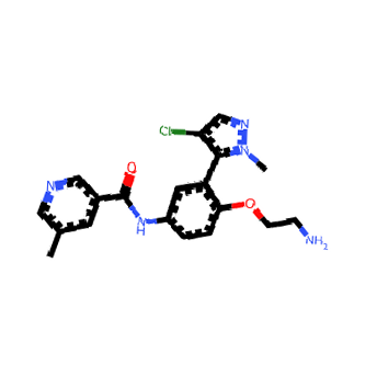 Cc1cncc(C(=O)Nc2ccc(OCCN)c(-c3c(Cl)cnn3C)c2)c1